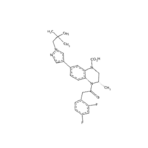 C[C@H]1CN(C(=O)O)c2cc(-c3cnn(CC(C)(C)O)c3)ccc2N1C(=O)Cc1ccc(F)cc1F